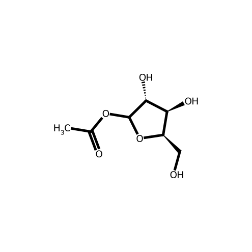 CC(=O)OC1O[C@H](CO)[C@H](O)[C@H]1O